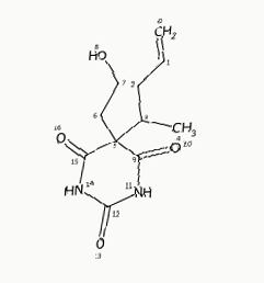 C=CCC(C)C1(CCO)C(=O)NC(=O)NC1=O